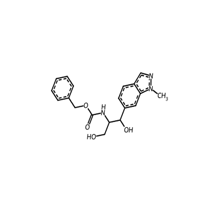 Cn1ncc2ccc(C(O)C(CO)NC(=O)OCc3ccccc3)cc21